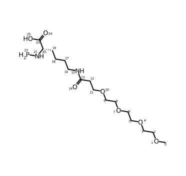 COCCOCCOCCOCCC(=O)NCCCC[C@H](NP)C(=O)O